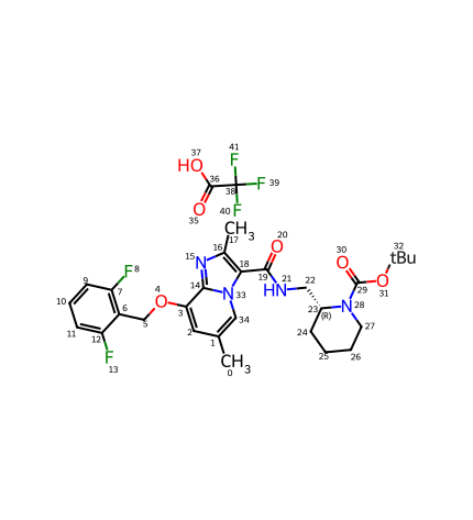 Cc1cc(OCc2c(F)cccc2F)c2nc(C)c(C(=O)NC[C@H]3CCCCN3C(=O)OC(C)(C)C)n2c1.O=C(O)C(F)(F)F